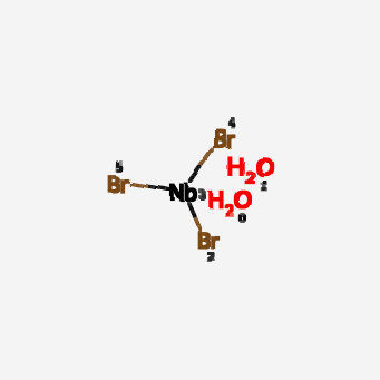 O.O.[Br][Nb]([Br])[Br]